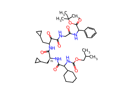 CC(C)COC(=O)NC(C(=O)N[C@@H](CC1CC1)C(=O)NC(CC1CC1)C(=O)C(=O)NCC(=O)NC(C(=O)OC(C)(C)C)c1ccccc1)C1CCCCC1